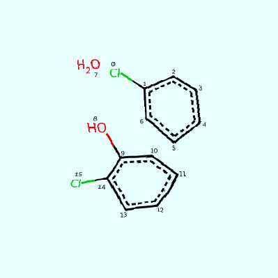 Clc1ccccc1.O.Oc1ccccc1Cl